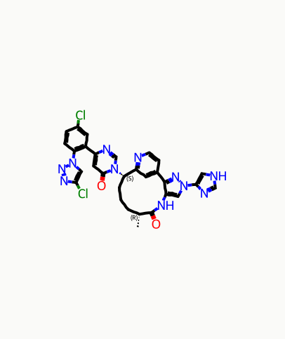 C[C@@H]1CCC[C@H](n2cnc(-c3cc(Cl)ccc3-n3cc(Cl)nn3)cc2=O)c2cc(ccn2)-c2nn(-c3c[nH]cn3)cc2NC1=O